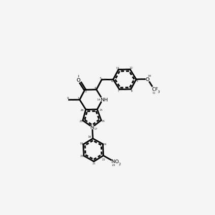 CC1C(=O)C(Cc2ccc(OC(F)(F)F)cc2)Nc2cn(-c3cccc([N+](=O)[O-])c3)cc21